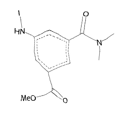 COC(=O)c1cc(NI)cc(C(=O)N(C)C)c1